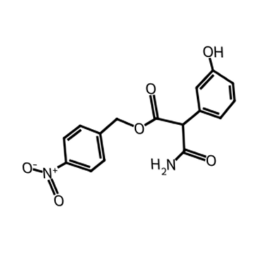 NC(=O)C(C(=O)OCc1ccc([N+](=O)[O-])cc1)c1cccc(O)c1